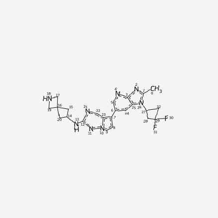 Cc1nc2ncc(-c3ccn4nc(NC5CC6(CNC6)C5)ncc34)cc2n1C1CC(F)(F)C1